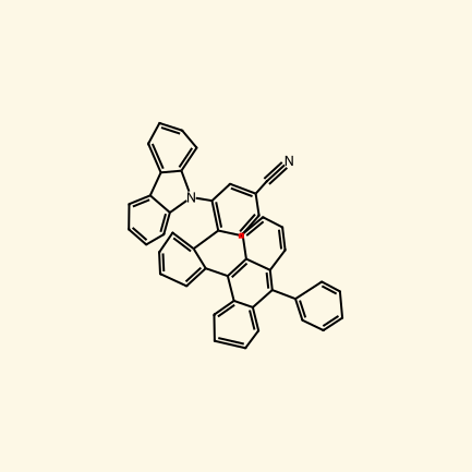 N#Cc1ccc(-c2ccccc2-c2c3ccccc3c(-c3ccccc3)c3ccccc23)c(-n2c3ccccc3c3ccccc32)c1